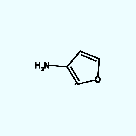 Nc1[c]occ1